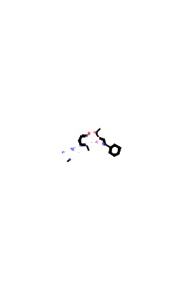 CCN(C)/C=N/c1cc(Br)c(OC(C)c2cc(-c3ccccc3)no2)nc1C